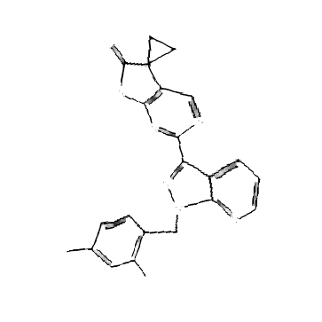 O=C1Nc2nc(-c3nn(Cc4ccc(F)cc4F)c4ncccc34)ncc2C12CC2